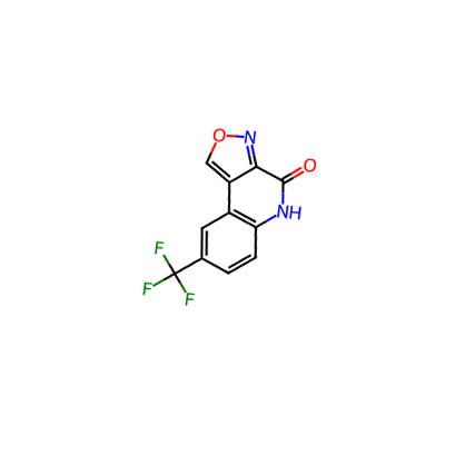 O=c1[nH]c2ccc(C(F)(F)F)cc2c2conc12